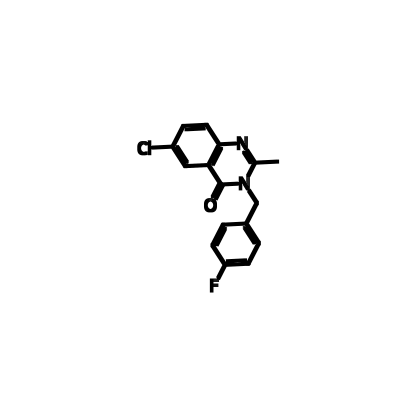 Cc1nc2ccc(Cl)cc2c(=O)n1Cc1ccc(F)cc1